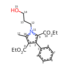 CCOC(=O)c1c(-c2ccccc2)c(C(=O)OCC)n(CCCO)c1C